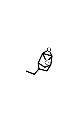 CCC1CC2CC1C13OC21O3